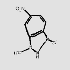 O=[N+]([O-])c1ccc2c(c1)N(O)NN2Cl